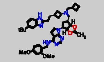 C=C1O[C@@H]2[C@@H](CN(CC3CCC3)[C@H]3C[C@H](CCc4nc5cc(C(C)(C)C)ccc5[nH]4)C3)C[C@@H](n3ccc4c(NCc5ccc(OC)cc5OC)ncnc43)[C@@H]2O1